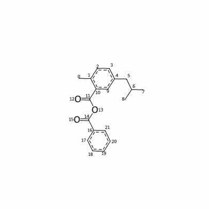 Cc1ccc(CC(C)C)cc1C(=O)OC(=O)c1ccccc1